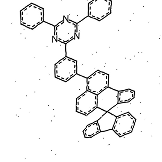 c1ccc(-c2nc(-c3ccccc3)nc(-c3cccc(-c4ccc5c6c(cccc46)C4(c6ccccc6-c6ccccc64)c4ccccc4-5)c3)n2)cc1